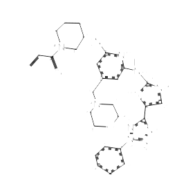 C=CC(=O)N1CCC[C@H](Nc2cc(CN3CCOCC3)cc(Nc3ncc(-c4nnn(-c5ccccc5)n4)s3)n2)C1